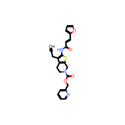 C#CCc1c(NC(=O)/C=C/c2ccco2)sc2c1CCN(C(=O)OCc1ccccn1)C2